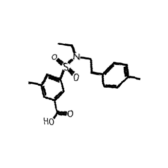 CCN(CCc1ccc(C)cc1)S(=O)(=O)c1cc(C)cc(C(=O)O)c1